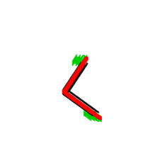 Cl.Cl.Cl.Cl.Cl.Cl.Cl.Cl.Cl.Cl.Cl.Cl.Cl.Cl.Cl.Cl.Cl.Cl.Cl.Cl.Cl.Cl.Cl.Cl.Cl.[Li+].[Li+].[Li+].[Li+].[Li+].[Li+].[Li+].[Li+].[Li+].[Li+].[Li+].[Li+].[Li+].[Li+].[Li+].[Li+].[Li+].[Li+].[Li+].[Li+].[Li+].[Li+].[Li+].[Li+].[Li+].[Li+].[Li+].[Li+].[Li+].[Li+].[Li+].[Li+].[Li+].[Li+].[Li+].[Li+].[Li+].[Li+].[Li+].[Li+].[Li+].[Li+].[Li+].[Li+].[Li+].[Li+].[Li+].[Li+].[Li+].[Li+].[Li+].[Li+].[Li+].[Li+].[Li+].[Li+].[Li+].[Li+].[Li+].[Li+].[Li+].[Li+].[Li+].[Li+].[Li+].[Li+].[Li+].[Li+].[Li+].[Li+].[Li+].[Li+].[Li+].[Li+].[Li+].[Li+].[Li+].[Li+].[Li+].[Li+].[Li+].[Li+].[Li+].[Li+].[Li+].[Li+].[Li+].[Li+].[Li+].[Li+].[Li+].[Li+].[Li+].[Li+].[Li+].[Li+].[Li+].[Li+].[Li+]